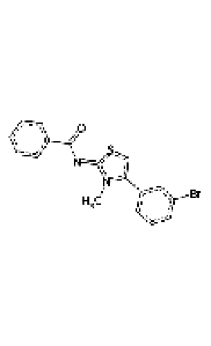 Cn1c(-c2cccc(Br)c2)cs/c1=N\C(=O)c1ccccc1